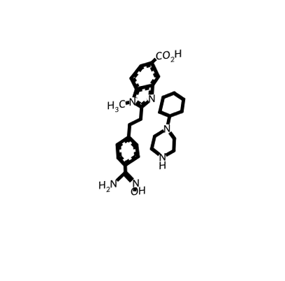 C1CCC(N2CCNCC2)CC1.Cn1c(CCc2ccc(C(N)=NO)cc2)nc2cc(C(=O)O)ccc21